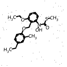 CCOc1cccc(N(O)C(=O)SC)c1COc1ccc(CC)cc1C